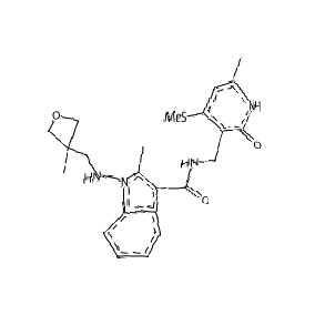 CSc1cc(C)[nH]c(=O)c1CNC(=O)c1c(C)n(NCC2(C)COC2)c2ccccc12